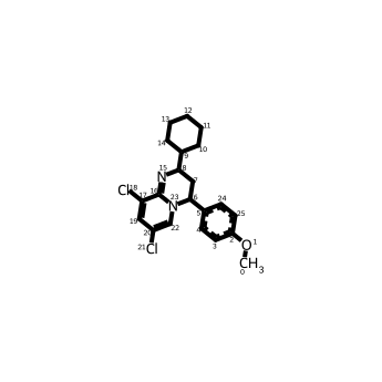 COc1ccc(C2CC(C3CCCCC3)N=C3C(Cl)=CC(Cl)=CN32)cc1